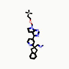 C/N=C/C1(c2cc(-c3ncnc4c3ccn4COCC[Si](C)(C)C)ccn2)Cc2ccccc2C1